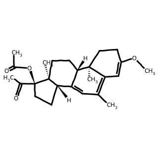 COC1=CC2=C(C)C=C3[C@H](CC[C@@]4(C)[C@H]3CC[C@]4(OC(C)=O)C(C)=O)[C@@]2(C)CC1